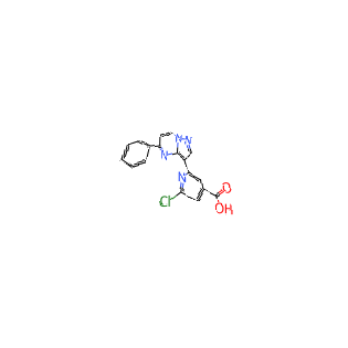 O=C(O)c1cc(Cl)nc(-c2cnn3ccc(-c4ccccc4)nc23)c1